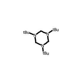 CC(C)(C)N1CN(C(C)(C)C)CN(C(C)(C)C)C1